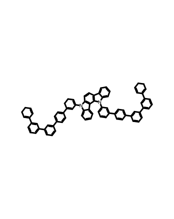 C1=CC(c2cccc(-c3cccc(-c4ccc(C5=CC(n6c7ccccc7c7c6ccc6c8ccccc8n(-c8cccc(-c9ccc(-c%10cccc(-c%11cccc(C%12=CCCC=C%12)c%11)c%10)cc9)c8)c67)=CCC5)cc4)c3)c2)=CCC1